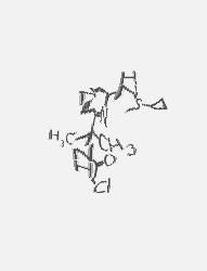 CC(C)(NC(=O)CCl)c1cncc(NSC2CC2)n1